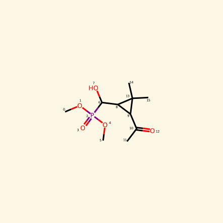 COP(=O)(OC)C(O)C1C(C(C)=O)C1(C)C